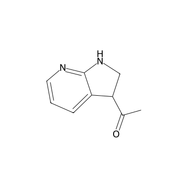 CC(=O)C1CNc2ncccc21